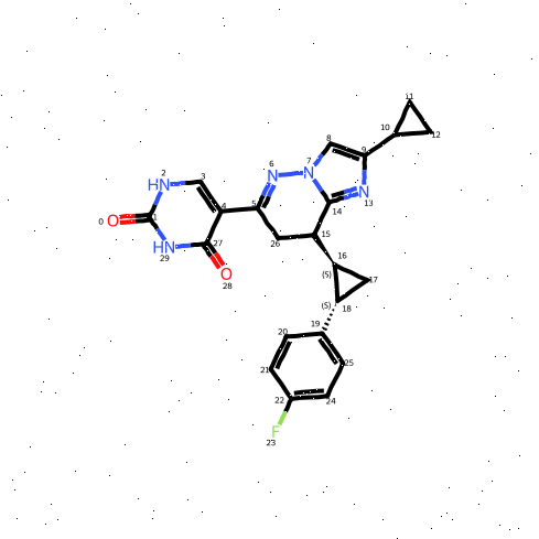 O=c1[nH]cc(C2=Nn3cc(C4CC4)nc3C([C@H]3C[C@@H]3c3ccc(F)cc3)C2)c(=O)[nH]1